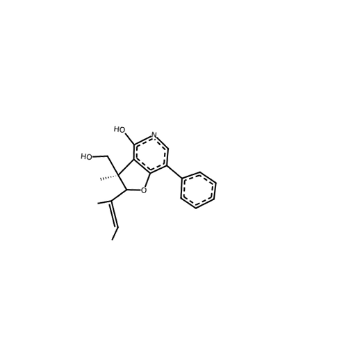 C/C=C(\C)C1Oc2c(-c3ccccc3)cnc(O)c2[C@]1(C)CO